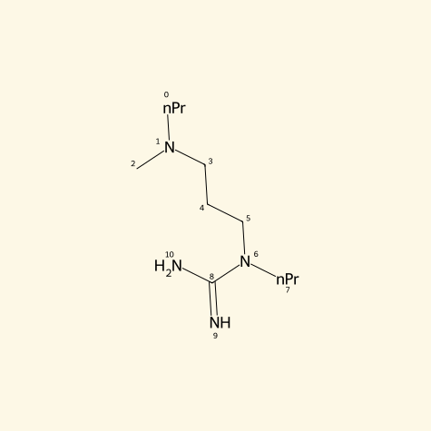 CCCN(C)CCCN(CCC)C(=N)N